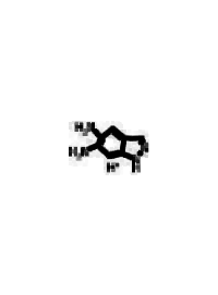 Nc1cc2cn[nH]c2cc1N.[H+]